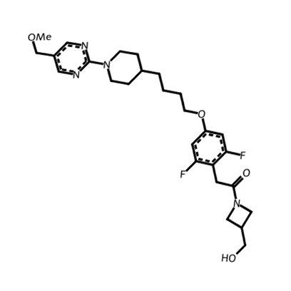 COCc1cnc(N2CCC(CCCCOc3cc(F)c(CC(=O)N4CC(CO)C4)c(F)c3)CC2)nc1